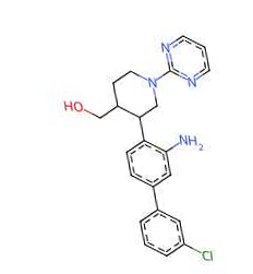 Nc1cc(-c2cccc(Cl)c2)ccc1C1CN(c2ncccn2)CCC1CO